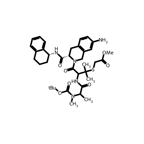 COC(=O)CSC(C)(C)C(NC(=O)C(C)N(C)C(=O)OC(C)(C)C)C(=O)N1Cc2cc(N)ccc2C[C@H]1C(=O)N[C@@H]1CCCc2ccccc21